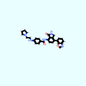 O=C(Nc1ccc(-c2cccc3ncoc23)c2c1C(=O)NC2)c1ccc(NCCN2CCCC2)cc1